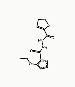 CCOc1ccsc1C(=O)NNC(=O)C1=CCCS1